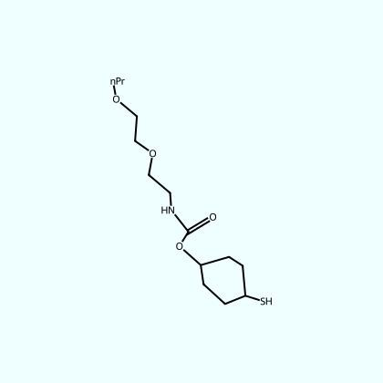 CCCOCCOCCNC(=O)OC1CCC(S)CC1